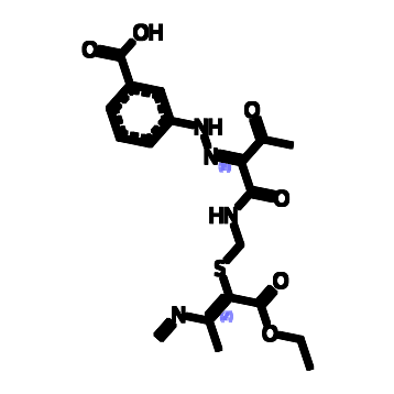 C=N/C(C)=C(\SCNC(=O)/C(=N/Nc1cccc(C(=O)O)c1)C(C)=O)C(=O)OCC